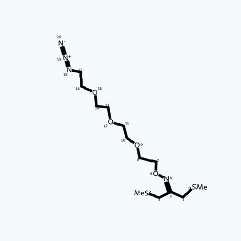 CSCC(CSC)=NOCCOCCOCCOCCN=[N+]=[N-]